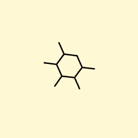 C[C]1CC(C)C(C)C(C)C1C